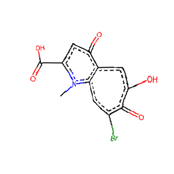 Cn1c(C(=O)O)cc(=O)c2cc(O)c(=O)c(Br)cc21